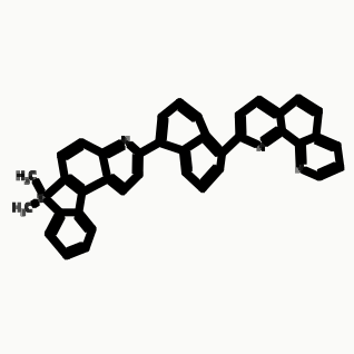 C[Si]1(C)c2ccccc2-c2c1ccc1nc(-c3cccc4c(-c5ccc6ccc7cccnc7c6n5)cccc34)ccc21